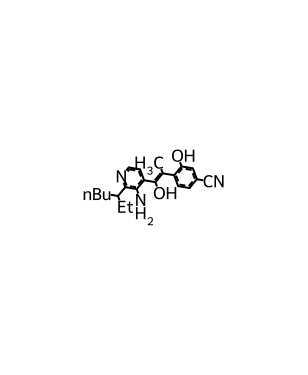 CCCCC(CC)c1nccc(/C(O)=C(\C)c2ccc(C#N)cc2O)c1N